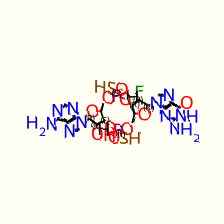 Nc1nc2c(ncn2[C@@H]2OC3CO[P@@](=O)(S)O[C@@H]4C(CO[P@](=O)(S)O[C@H]3[C@H]2F)O[C@@H](n2cnc3c(N)ncnc32)[C@@H]4O)c(=O)[nH]1